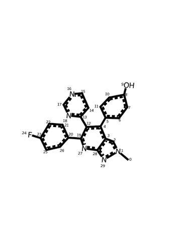 Cn1cc2c(-c3ccc(O)cc3)c(-c3ccncn3)c(-c3ccc(F)cc3)nc2n1